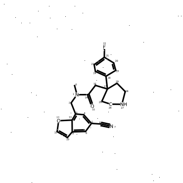 CN(Cc1cc(C#N)cc2ccoc12)C(=O)CC1(c2ccc(F)cc2)CCNCC1